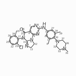 Cc1cc(Nc2ncc3c(n2)N2CCN=C2N(c2c(C)cccc2Cl)C3=O)cc(C)c1N1CCN(C)CC1